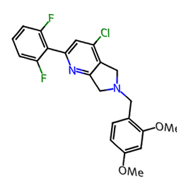 COc1ccc(CN2Cc3nc(-c4c(F)cccc4F)cc(Cl)c3C2)c(OC)c1